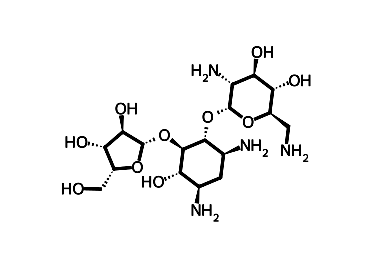 NC[C@H]1O[C@H](O[C@H]2[C@H](O[C@@H]3O[C@H](CO)[C@H](O)[C@H]3O)[C@@H](O)[C@H](N)C[C@@H]2N)[C@H](N)[C@@H](O)[C@@H]1O